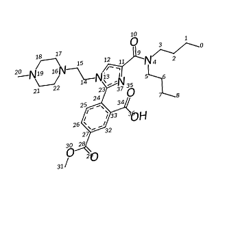 CCCCN(CCCC)C(=O)c1cn(CCN2CCN(C)CC2)c(-c2ccc(C(=O)OC)cc2C(=O)O)n1